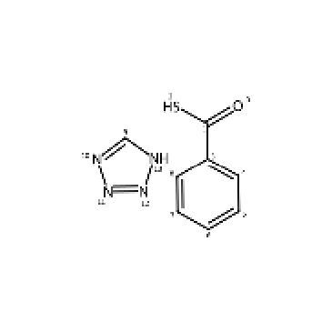 O=C(S)c1ccccc1.c1nnn[nH]1